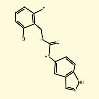 O=C(NCc1c(F)cccc1Cl)Nc1ccc2[nH]ncc2c1